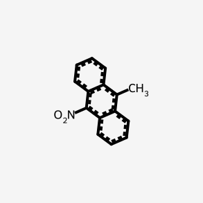 Cc1c2ccccc2c([N+](=O)[O-])c2ccccc12